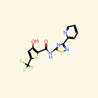 O=C(Nc1nc(-c2ccccn2)ns1)c1sc(C(F)(F)F)cc1O